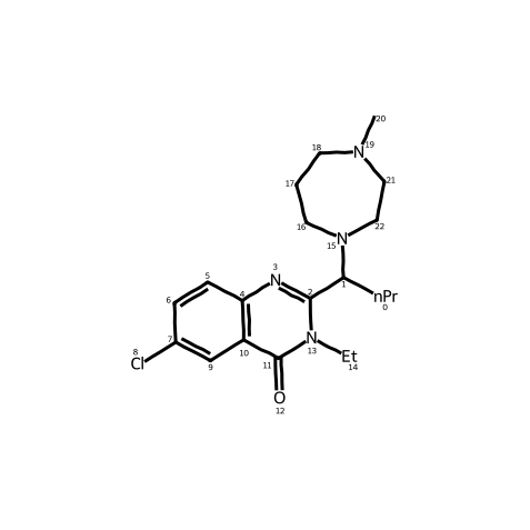 CCCC(c1nc2ccc(Cl)cc2c(=O)n1CC)N1CCCN(C)CC1